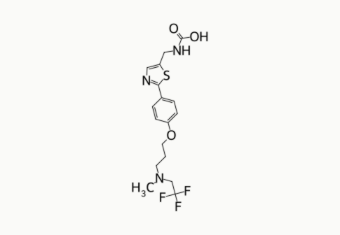 CN(CCCOc1ccc(-c2ncc(CNC(=O)O)s2)cc1)CC(F)(F)F